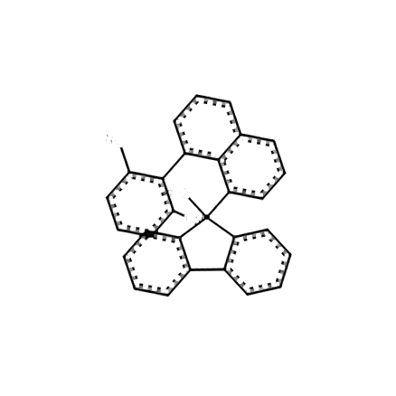 CC1(c2cccc3cccc(-c4c(C#N)cccc4C#N)c23)c2ccccc2-c2ccccc21